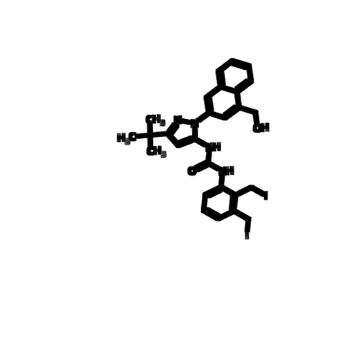 CC(C)(C)c1cc(NC(=O)Nc2cccc(CI)c2CI)n(-c2cc(CO)c3ccccc3c2)n1